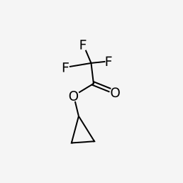 O=C(OC1CC1)C(F)(F)F